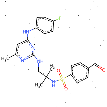 Cc1cc(Nc2ccc(F)cc2)nc(NCC(C)(C)NS(=O)(=O)c2ccc(C=O)cc2)n1